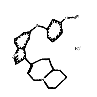 CCCOc1cccc(Sc2ccc3scc(C4=CCN5CCCCC5CC4)c3c2)c1.Cl